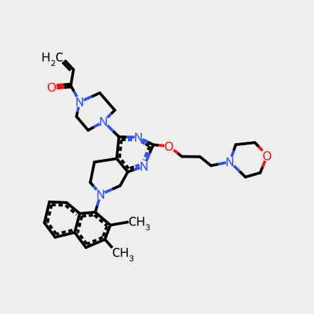 C=CC(=O)N1CCN(c2nc(OCCCN3CCOCC3)nc3c2CCN(c2c(C)c(C)cc4ccccc24)C3)CC1